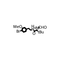 COc1cc(CCNC(=O)C(NC=O)C(C)(C)C)ccc1Br